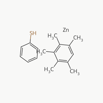 Cc1cc(C)c(C)c(C)c1C.Sc1ccccc1.[Zn]